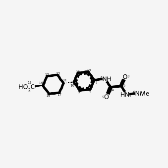 CNNC(=O)C(=O)Nc1ccc([C@H]2CC[C@H](C(=O)O)CC2)cc1